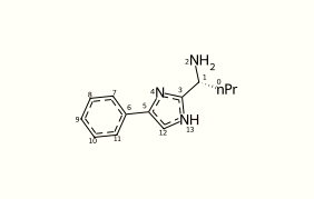 CCC[C@@H](N)c1nc(-c2ccccc2)c[nH]1